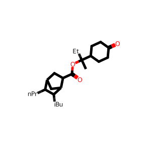 CCCC1C2CC(C(=O)OC(C)(CC)C3CCC(=O)CC3)C(C2)C1C(C)CC